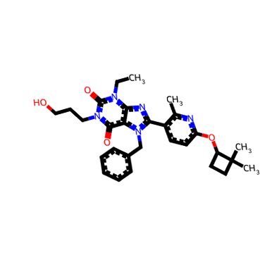 CCn1c(=O)n(CCCO)c(=O)c2c1nc(-c1ccc(OC3CCC3(C)C)nc1C)n2Cc1ccccc1